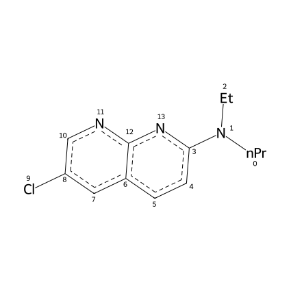 CCCN(CC)c1ccc2cc(Cl)cnc2n1